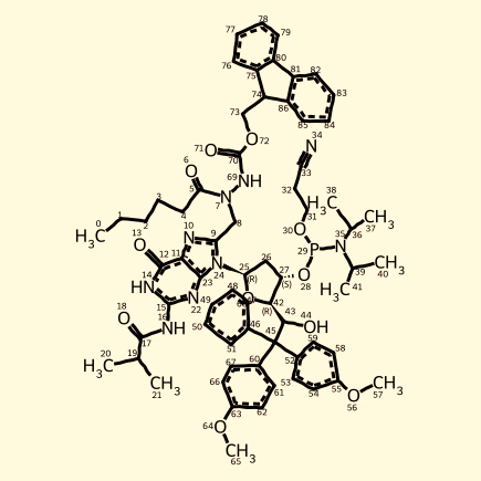 CCCCCC(=O)N(Cc1nc2c(=O)[nH]c(NC(=O)C(C)C)nc2n1[C@H]1C[C@H](OP(OCCC#N)N(C(C)C)C(C)C)[C@@H](C(O)C(c2ccccc2)(c2ccc(OC)cc2)c2ccc(OC)cc2)O1)NC(=O)OCC1c2ccccc2-c2ccccc21